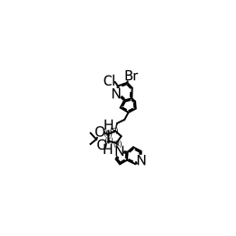 CC1(C)O[C@@H]2[C@@H](CCc3ccc4cc(Br)c(Cl)nc4c3)C[C@@H](n3ccc4cnccc43)[C@@H]2O1